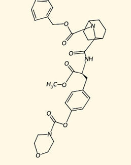 COC(=O)[C@H](Cc1ccc(OC(=O)N2CCOCC2)cc1)NC(=O)C1C2CCC(CC2)N1C(=O)OCc1ccccc1